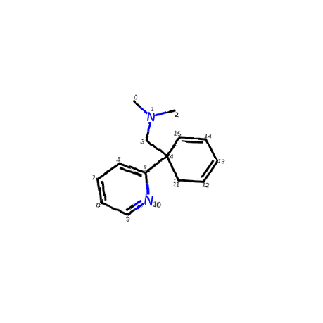 CN(C)CC1(c2ccccn2)[CH]C=CC=C1